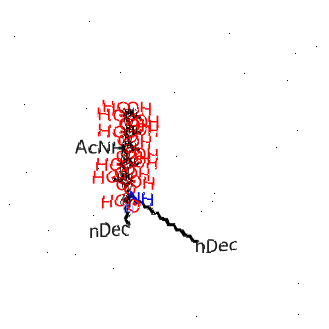 CCCCCCCCCCCCC/C=C/[C@@H](O)[C@H](CO[C@@H]1OC(CO)[C@@H](O[C@@H]2OC(CO)[C@H](O)[C@H](O[C@@H]3OC(CO)[C@@H](O)[C@H](O[C@@H]4OC(CO)[C@H](O)[C@H](O[C@@H]5OC(CO)[C@H](O)[C@H](O)C5O)C4O)C3NC(C)=O)C2O)[C@H](O)C1O)NC(=O)CCCCCCCCCCCCCCCCCCCCCCCCC